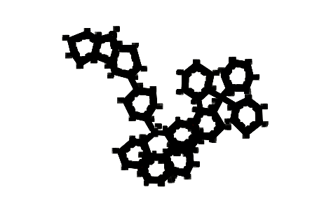 c1ccc(-c2ccccc2N(c2ccc(-c3ccc4oc5ccccc5c4c3)cc2)c2ccccc2-c2cccc(-c3ccc4c(c3)-c3ccccc3C4(c3ccccc3)c3ccccc3)c2)cc1